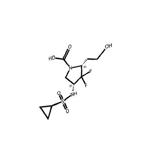 O=C(O)N1C[C@@H](NS(=O)(=O)C2CC2)C(F)(F)[C@H]1CCO